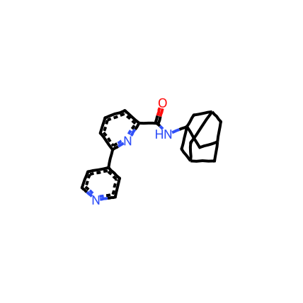 O=C(NC12CC3CC(CC(C3)C1)C2)c1cccc(-c2ccncc2)n1